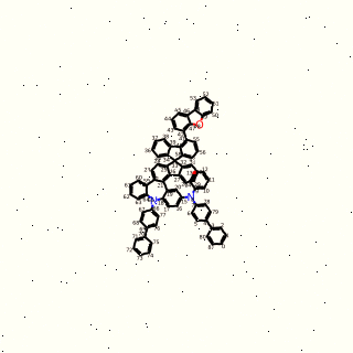 c1ccc(-c2ccc(N(c3ccccc3)c3ccc4c(c3)-c3c(ccc5c3-c3ccccc3C53c5ccccc5-c5c(-c6cccc7c6oc6ccccc67)cccc53)-c3ccccc3N4c3ccc(-c4ccccc4)cc3)cc2)cc1